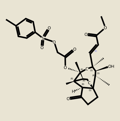 COC(=O)/C=C/[C@]1(C)C[C@@H](OC(=O)COS(=O)(=O)c2ccc(C)cc2)[C@]2(C)[C@H](C)CC[C@]3(CCC(=O)[C@H]32)[C@@H](C)[C@@H]1O